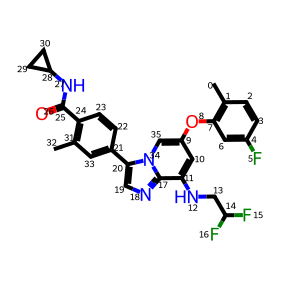 Cc1ccc(F)cc1Oc1cc(NCC(F)F)c2ncc(-c3ccc(C(=O)NC4CC4)c(C)c3)n2c1